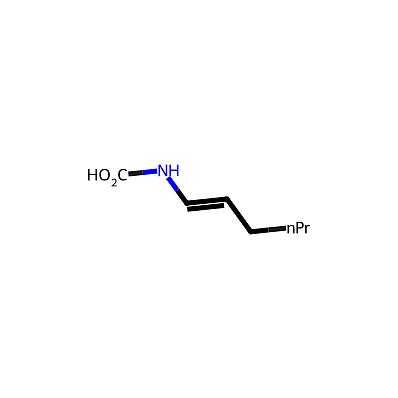 CCCCC=CNC(=O)O